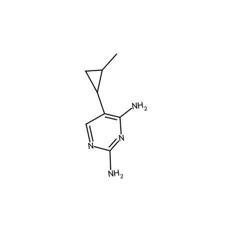 CC1CC1c1cnc(N)nc1N